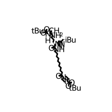 C=C(NCCC[C@@H](C(=O)NCCCCCCCCCCC(=O)N1CCN(C(=O)OC(C)(C)C)CC1)n1cc(C[C@@H](C)CC)nn1)NC(=O)OC(C)(C)C